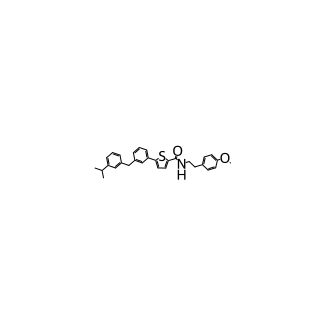 COc1ccc(CCNC(=O)c2ccc(-c3cccc(Cc4cccc(C(C)C)c4)c3)s2)cc1